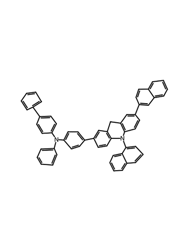 c1ccc(-c2ccc(N(c3ccccc3)c3ccc(-c4ccc5c(c4)Cc4cc(-c6ccc7ccccc7c6)ccc4N5c4cccc5ccccc45)cc3)cc2)cc1